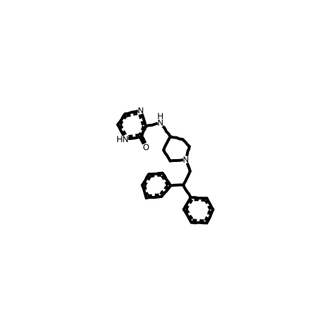 O=c1[nH]ccnc1NC1CCN(CC(c2ccccc2)c2ccccc2)CC1